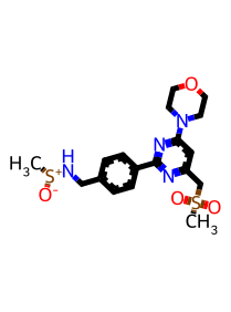 C[S+]([O-])NCc1ccc(-c2nc(CS(C)(=O)=O)cc(N3CCOCC3)n2)cc1